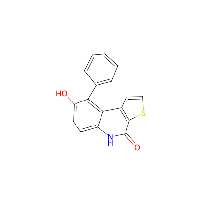 O=c1[nH]c2ccc(O)c(-c3cc[c]cc3)c2c2ccsc12